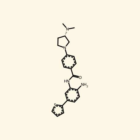 CN(C)[C@H]1CCN(c2ccc(C(=O)Nc3cc(-c4cccs4)ccc3N)cc2)C1